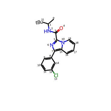 CC(NC(=O)c1nc(-c2cccc(Cl)c2)c2ccccn12)C(C)(C)C